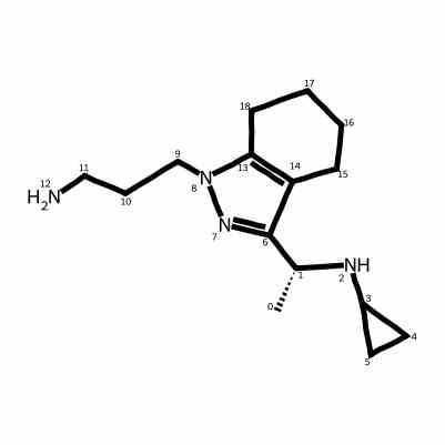 C[C@@H](NC1CC1)c1nn(CCCN)c2c1CCCC2